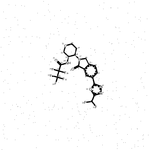 O=C1c2cc(-c3nnc(C(F)F)o3)ccc2CN1[C@@H]1CCOC[C@@H]1NC(=O)C(F)(F)C(F)(F)F